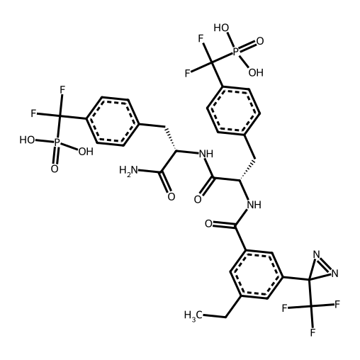 CCc1cc(C(=O)N[C@@H](Cc2ccc(C(F)(F)P(=O)(O)O)cc2)C(=O)N[C@@H](Cc2ccc(C(F)(F)P(=O)(O)O)cc2)C(N)=O)cc(C2(C(F)(F)F)N=N2)c1